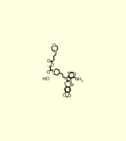 C[C@H](OC(=O)CCCN1CCOCC1)C(=O)N1CCC(CCn2c(Sc3cc4c(cc3Br)OCO4)nc3c(N)ncnc32)CC1.Cl